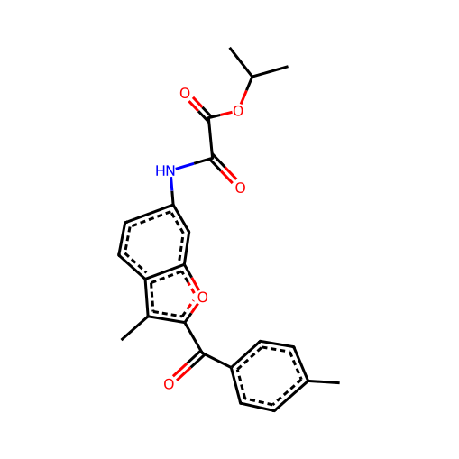 Cc1ccc(C(=O)c2oc3cc(NC(=O)C(=O)OC(C)C)ccc3c2C)cc1